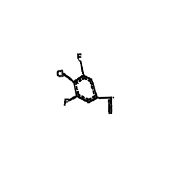 C=[C]c1cc(F)c(Cl)c(F)c1